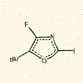 CC(C)(C)c1oc(I)nc1F